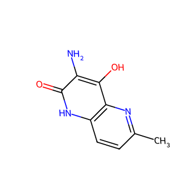 Cc1ccc2[nH]c(=O)c(N)c(O)c2n1